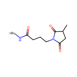 CCCCNC(=O)CCCN1C(=O)CC(C)C1=O